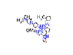 COc1cc(N2CCC(N(C)C)CC2)ccc1Nc1nccc(-c2c(-c3ccc4nc(Cc5ccccc5C)[nH]c4c3)nc3sccn23)n1